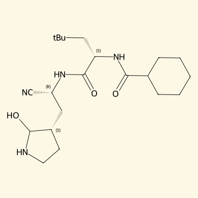 CC(C)(C)C[C@H](NC(=O)C1CCCCC1)C(=O)N[C@@H](C#N)C[C@@H]1CCNC1O